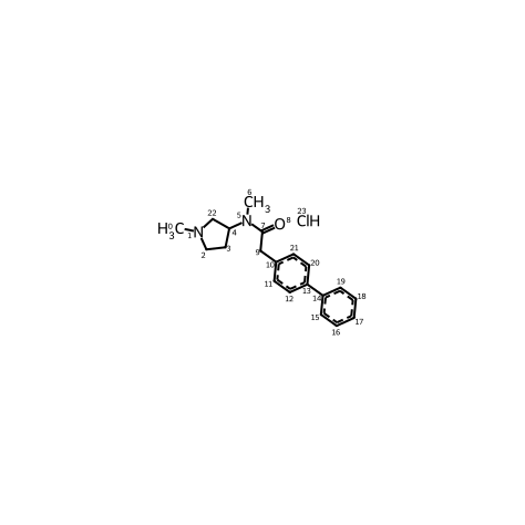 CN1CCC(N(C)C(=O)Cc2ccc(-c3ccccc3)cc2)C1.Cl